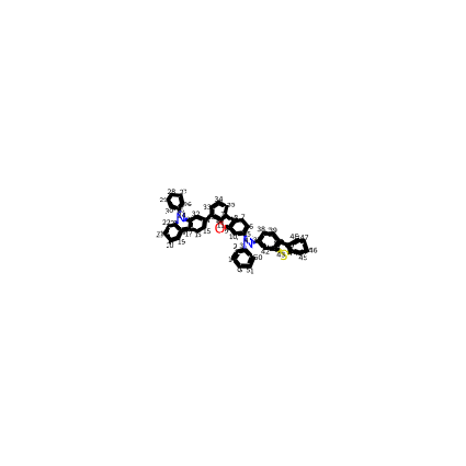 c1ccc(N(c2ccc3c(c2)oc2c(-c4ccc5c6ccccc6n(-c6ccccc6)c5c4)cccc23)c2ccc3c(c2)sc2ccccc23)cc1